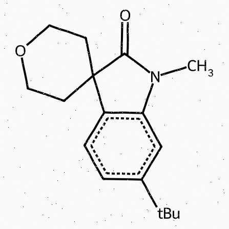 CN1C(=O)C2(CCOCC2)c2ccc(C(C)(C)C)cc21